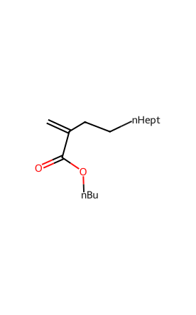 C=C(CCCCCCCCC)C(=O)OCCCC